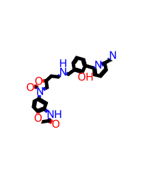 N#Cc1cccc(-c2cccc(CNCCC3CN(c4ccc5c(c4)NC(=O)CO5)C(=O)O3)c2O)n1